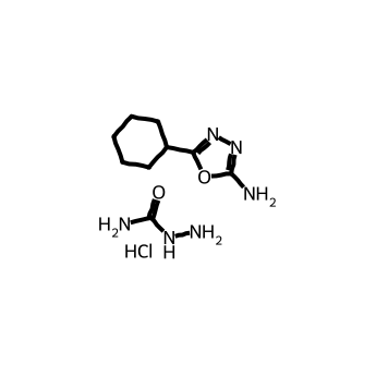 Cl.NNC(N)=O.Nc1nnc(C2CCCCC2)o1